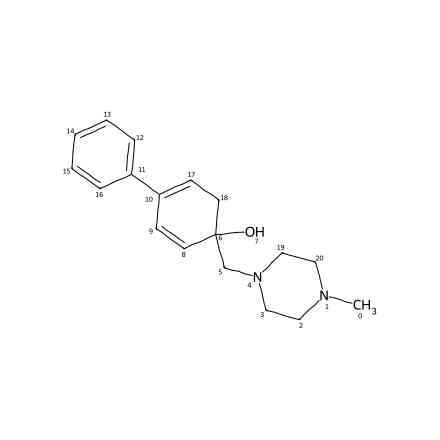 CN1CCN(CC2(O)C=CC(c3ccccc3)=CC2)CC1